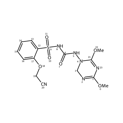 COC1=NCN(NC(=O)NS(=O)(=O)c2ccccc2OCC#N)C(OC)=N1